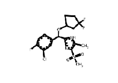 Cc1[nH]c(C(OC2CCC(F)(F)C2)c2ccc(F)c(Cl)c2)nc1S(C)(=O)=O